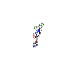 C[C@@H]1CN(c2ccc(Cl)cc2Cl)CCN1C(=O)COCc1ccncc1